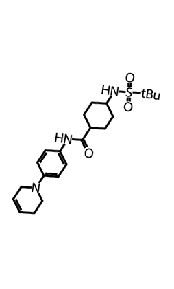 CC(C)(C)S(=O)(=O)NC1CCC(C(=O)Nc2ccc(N3CC=CCC3)cc2)CC1